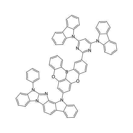 c1ccc(-n2c3ccccc3n3c4ccc5c6ccccc6n(-c6cc7c8c(c6)Oc6ccc(-c9nc(-n%10c%11ccccc%11c%11ccccc%11%10)cc(-n%10c%11ccccc%11c%11ccccc%11%10)n9)cc6B8c6ccccc6O7)c5c4nc23)cc1